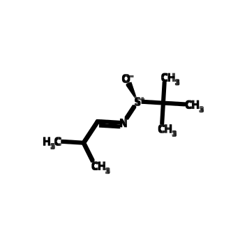 CC(C)/C=N/[S@@+]([O-])C(C)(C)C